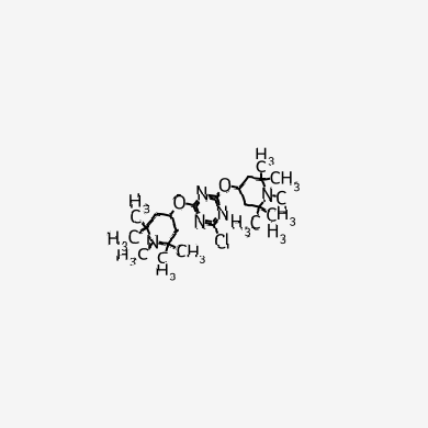 CN1C(C)(C)CC(Oc2nc(Cl)nc(OC3CC(C)(C)N(C)C(C)(C)C3)n2)CC1(C)C